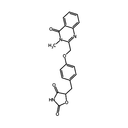 Cn1c(COc2ccc(CC3OC(=O)NC3=O)cc2)nc2ccccc2c1=O